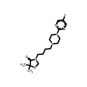 CC1(C)SCN(CCCCN2CCN(c3ncc(F)cn3)CC2)C1=O